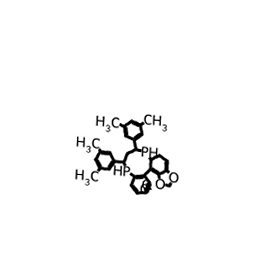 Cc1cc(C)cc(C2CC(c3cc(C)cc(C)c3)PC3CC=C4OCOC4=C3c3c(ccc4c3OCO4)P2)c1